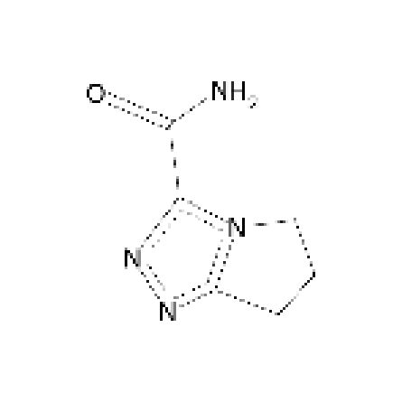 NC(=O)c1nnc2n1CCC2